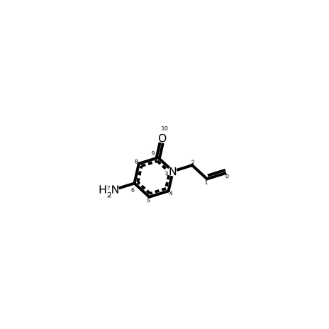 C=CCn1ccc(N)cc1=O